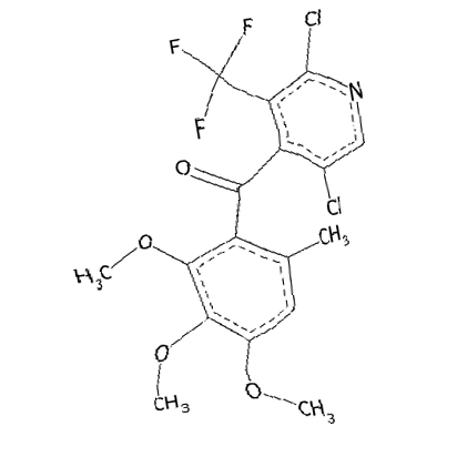 COc1cc(C)c(C(=O)c2c(Cl)cnc(Cl)c2C(F)(F)F)c(OC)c1OC